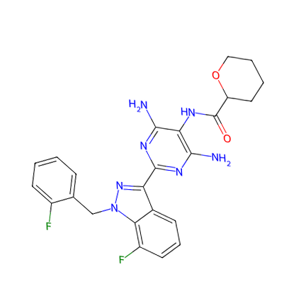 Nc1nc(-c2nn(Cc3ccccc3F)c3c(F)cccc23)nc(N)c1NC(=O)C1CCCCO1